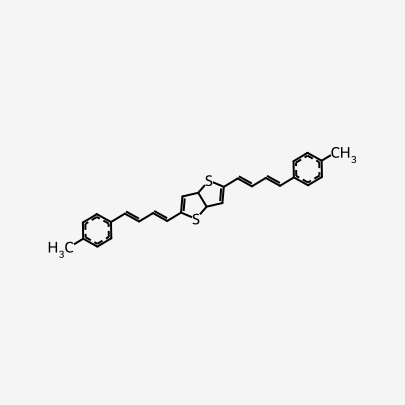 Cc1ccc(/C=C/C=C/C2=CC3SC(/C=C/C=C/c4ccc(C)cc4)=CC3S2)cc1